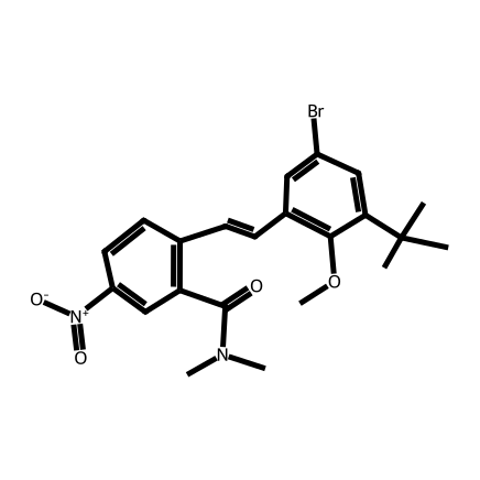 COc1c(C=Cc2ccc([N+](=O)[O-])cc2C(=O)N(C)C)cc(Br)cc1C(C)(C)C